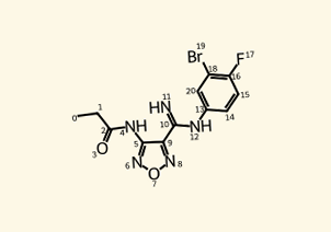 CCC(=O)Nc1nonc1C(=N)Nc1ccc(F)c(Br)c1